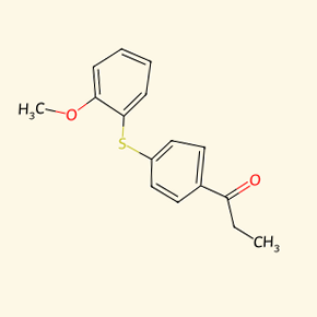 CCC(=O)c1ccc(Sc2ccccc2OC)cc1